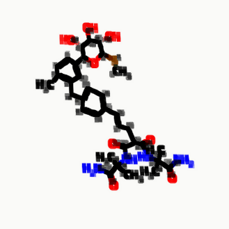 CS[C@H]1O[C@@H](c2ccc(C)c(Cc3ccc(/C=C/CC(C(=O)NC(C)(C)C(N)=O)C(=O)NC(C)(C)C(N)=O)cc3)c2)[C@H](O)[C@@H](O)[C@@H]1O